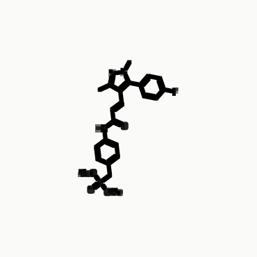 COP(=O)(Cc1ccc(NC(=O)/C=C/c2c(C)nn(C)c2-c2ccc(F)cc2)cc1)OC